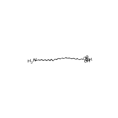 NCCCCCCCCCCCCCCCCCCCCCCCCCCCOP(=O)(O)O